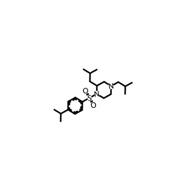 CC(C)CC1CN(CC(C)C)CCN1S(=O)(=O)c1ccc(C(C)C)cc1